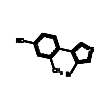 Cc1cc(C#N)ccc1-c1cscc1Br